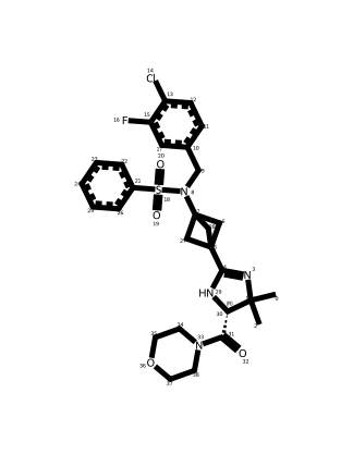 CC1(C)N=C(C23CC(N(Cc4ccc(Cl)c(F)c4)S(=O)(=O)c4ccccc4)(C2)C3)N[C@H]1C(=O)N1CCOCC1